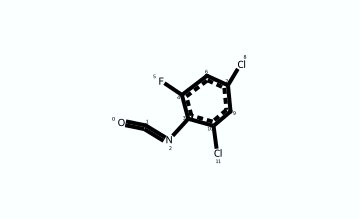 O=C=Nc1c(F)cc(Cl)cc1Cl